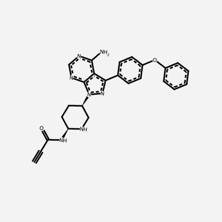 C#CC(=O)N[C@H]1CC[C@@H](n2nc(-c3ccc(Oc4ccccc4)cc3)c3c(N)ncnc32)CN1